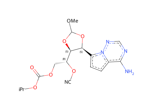 COC1O[C@H]([C@@H](COC(=O)OC(C)C)OC#N)[C@H](c2ccc3c(N)ncnn23)O1